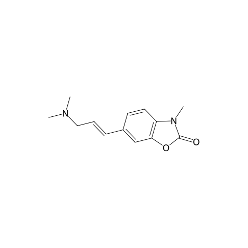 CN(C)CC=Cc1ccc2c(c1)oc(=O)n2C